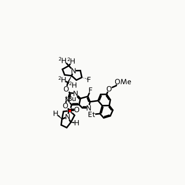 [2H]C1([2H])CC[C@@]2(C([2H])([2H])Oc3nc(N4C[C@H]5CC[C@@H](C4)N5C(=O)OC(C)(C)C)c4cnc(-c5cc(OCOC)cc6cccc(CC)c56)c(F)c4n3)C[C@@H](F)CN12